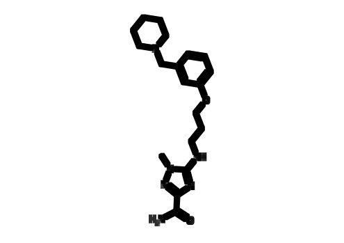 Cn1nc(C(N)=O)nc1NCCCOc1cccc(CN2CCCCC2)c1